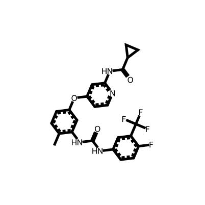 Cc1ccc(Oc2ccnc(NC(=O)C3CC3)c2)cc1NC(=O)Nc1ccc(F)c(C(F)(F)F)c1